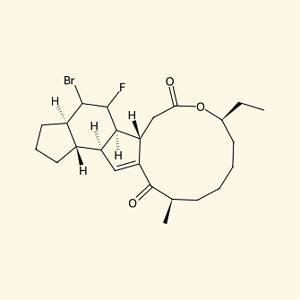 CC[C@H]1CCCC[C@@H](C)C(=O)C2=C[C@H]3[C@@H]4CCC[C@H]4C(Br)C(F)[C@H]3[C@@H]2CC(=O)O1